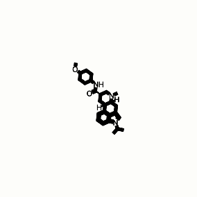 COC1CCC(NC(=O)[C@@H]2C[C@H]3c4cccc5c4c(cn5C(C)C)C[C@H]3N(C)C2)CC1